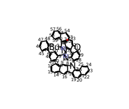 CCC(C)/C(=N\C(=N/c1c(-n2c3cc4ccccc4cc3c3ccc4ccccc4c32)ccc2oc3ccccc3c12)c1cccc(-c2ccccc2)c1)c1cccc2ccccc12